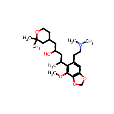 COc1c2c(cc(CCN(C)C)c1C(C)CC(O)CC1CCOC(C)(C)C1)OCO2